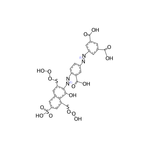 O=C(O)c1cc(/N=N/c2ccc(/N=N/c3c(SOOO)cc4cc(S(=O)(=O)O)cc(SOOO)c4c3O)c(C(=O)O)c2)cc(C(=O)O)c1